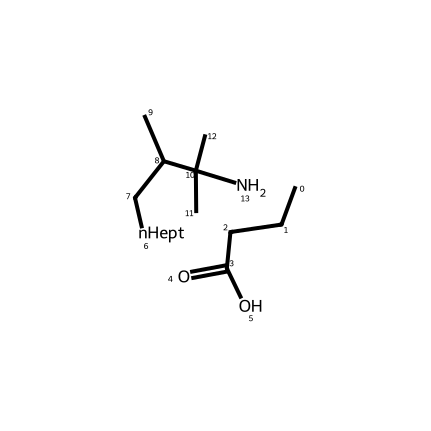 CCCC(=O)O.CCCCCCCCC(C)C(C)(C)N